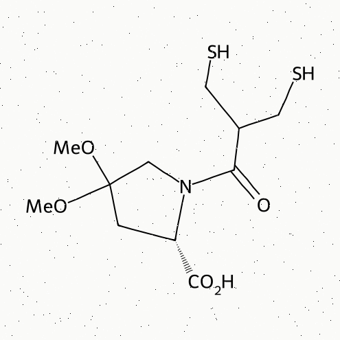 COC1(OC)C[C@@H](C(=O)O)N(C(=O)C(CS)CS)C1